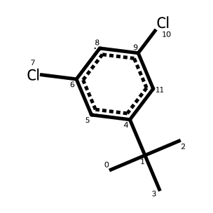 CC(C)(C)c1cc(Cl)[c]c(Cl)c1